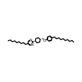 CCCCCCCCCCc1ccc(OC[C@H]2CC[C@H](c3ncc(CCCCCCCCC)cn3)CC2)cc1